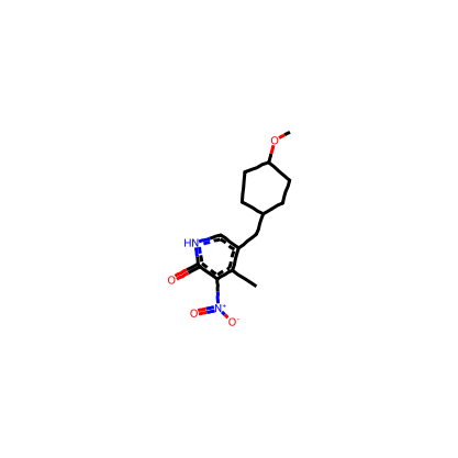 COC1CCC(Cc2c[nH]c(=O)c([N+](=O)[O-])c2C)CC1